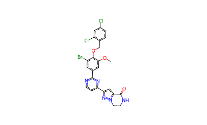 COc1cc(-c2nccc(-c3cc4n(n3)CCNC4=O)n2)cc(Br)c1OCc1ccc(Cl)cc1Cl